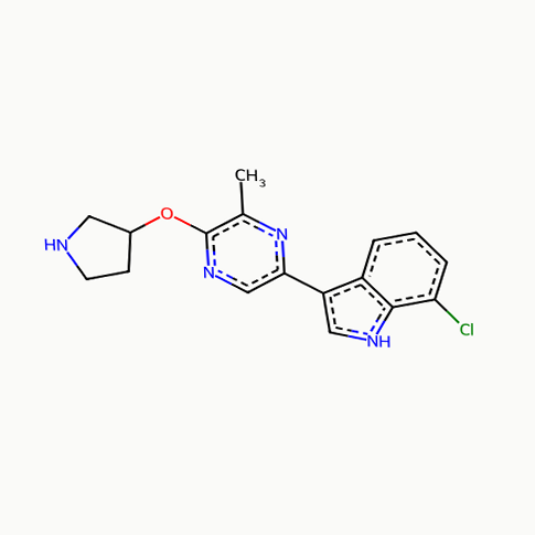 Cc1nc(-c2c[nH]c3c(Cl)cccc23)cnc1OC1CCNC1